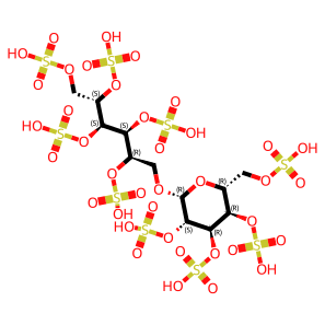 O=S(=O)(O)OC[C@H](OS(=O)(=O)O)[C@H](OS(=O)(=O)O)[C@@H](OS(=O)(=O)O)[C@@H](CO[C@@H]1O[C@H](COS(=O)(=O)O)[C@@H](OS(=O)(=O)O)[C@@H](OS(=O)(=O)O)[C@@H]1OS(=O)(=O)O)OS(=O)(=O)O